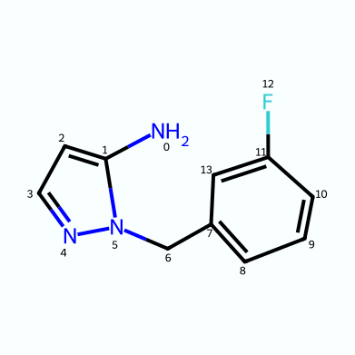 Nc1ccnn1Cc1cccc(F)c1